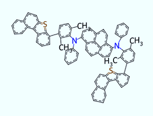 Cc1ccc(-c2cccc3c2sc2ccc4ccccc4c23)c(C)c1N(c1ccccc1)c1ccc2ccc3c(N(c4ccccc4)c4c(C)ccc(-c5cccc6c5sc5ccc7ccccc7c56)c4C)ccc4ccc1c2c43